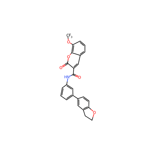 O=C(Nc1cccc(-c2ccc3c(c2)CCO3)c1)c1cc2cccc(OC(F)(F)F)c2oc1=O